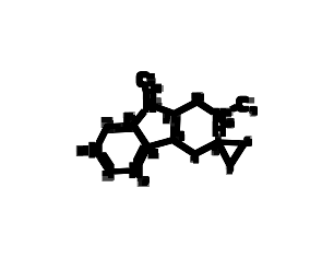 [CH2-][NH+]1C2=C(CC3(CC3)[NH+]([CH2-])C2)c2ncncc21